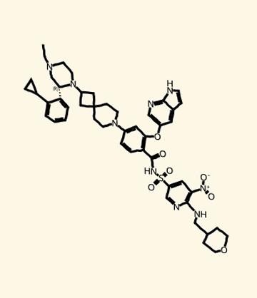 CCN1CCN(C2CC3(CCN(c4ccc(C(=O)NS(=O)(=O)c5cnc(NCC6CCOCC6)c([N+](=O)[O-])c5)c(Oc5cnc6[nH]ccc6c5)c4)CC3)C2)[C@H](c2ccccc2C2CC2)C1